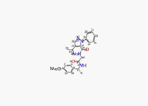 COc1ccc(C(C)NC(=O)Cn2nc(C)c3cnn(-c4ccccc4)c3c2=O)cc1